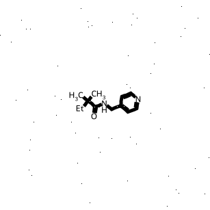 CCC(C)(C)C(=O)NCc1ccncc1